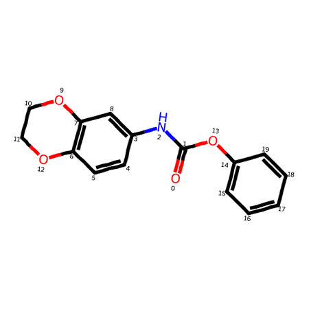 O=C(Nc1ccc2c(c1)OCCO2)Oc1ccccc1